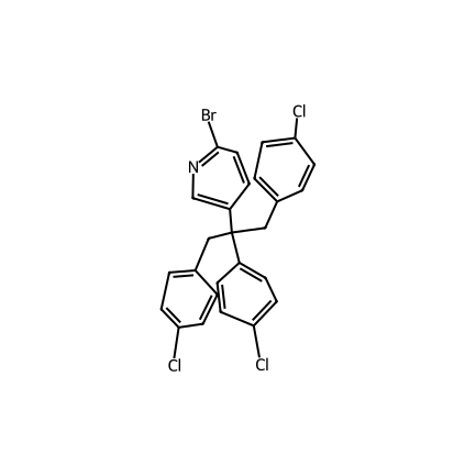 Clc1ccc(CC(Cc2ccc(Cl)cc2)(c2ccc(Cl)cc2)c2ccc(Br)nc2)cc1